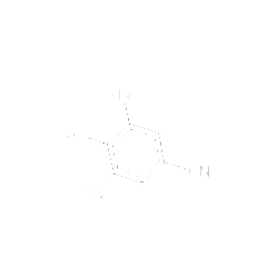 N#Cc1cc(Br)c([O-])c(Br)c1.[K+]